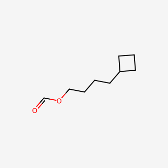 O=COCCCCC1CCC1